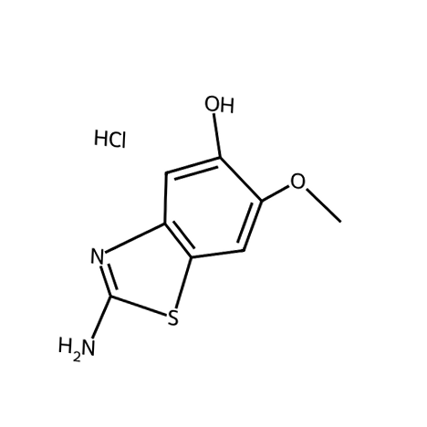 COc1cc2sc(N)nc2cc1O.Cl